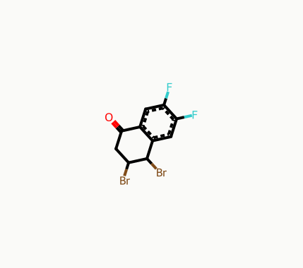 O=C1CC(Br)C(Br)c2cc(F)c(F)cc21